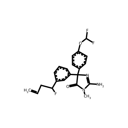 C=CCC(F)c1cccc(C2(c3ccc(OC(F)F)cc3)N=C(N)N(C)C2=O)c1